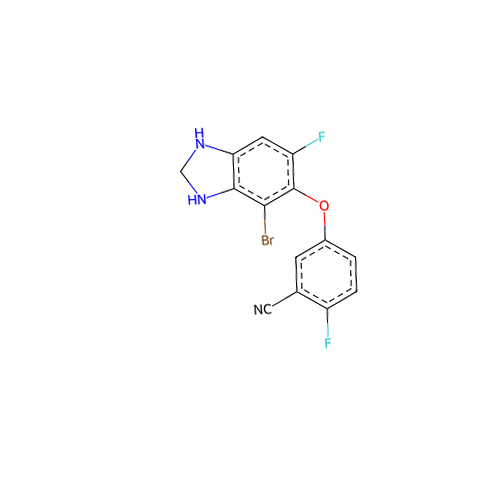 N#Cc1cc(Oc2c(F)cc3c(c2Br)NCN3)ccc1F